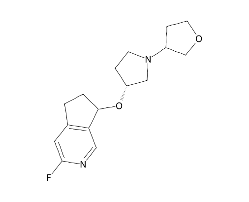 Fc1cc2c(cn1)C(O[C@@H]1CCN(C3CCOC3)C1)CC2